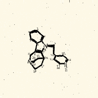 c1ccc2c(c1)c1c(n2Cc2ccncc2)C2CCN(CC2)C1